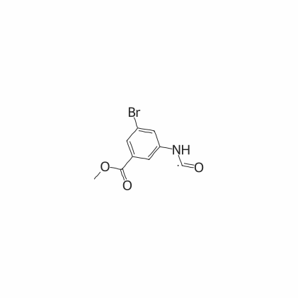 COC(=O)c1cc(Br)cc(N[C]=O)c1